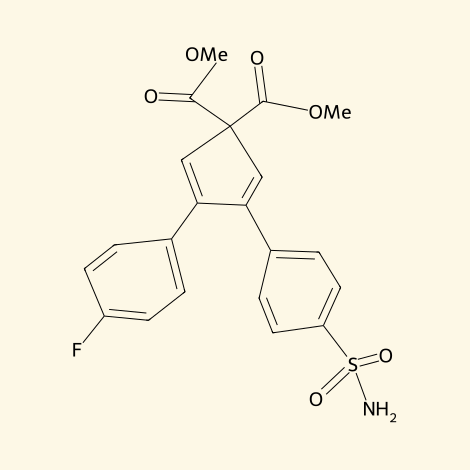 COC(=O)C1(C(=O)OC)C=C(c2ccc(F)cc2)C(c2ccc(S(N)(=O)=O)cc2)=C1